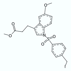 COC(=O)CCc1cn(S(=O)(=O)c2ccc(CI)cc2)c2ccc(OC)cc12